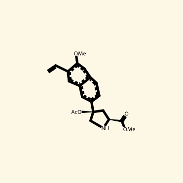 C=Cc1cc2cc([C@@]3(OC(C)=O)CN[C@H](C(=O)OC)C3)ccc2cc1OC